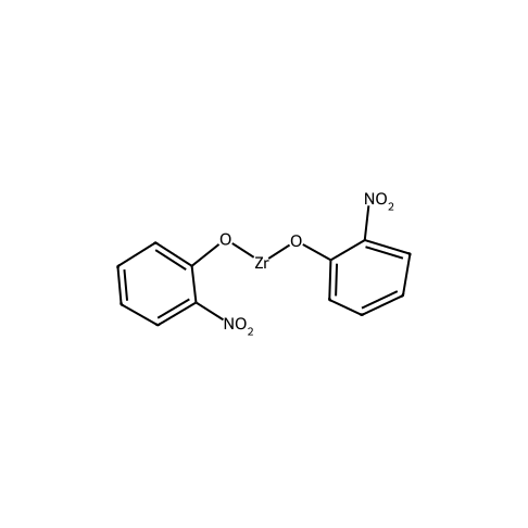 O=[N+]([O-])c1ccccc1[O][Zr][O]c1ccccc1[N+](=O)[O-]